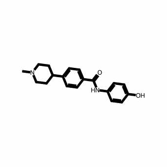 CN1CCC(c2ccc(C(=O)Nc3ccc(O)cc3)cc2)CC1